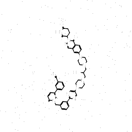 N#Cc1cccc(-c2ccc(=O)n(Cc3cccc(-c4ncc(N5CCN(CC(O)CN6CCN(c7ccc8c(=O)n(C9CCC(=O)NC9=O)ncc8c7)CC6)CC5)cn4)c3)n2)c1